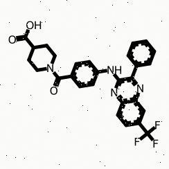 O=C(O)C1CCN(C(=O)c2ccc(Nc3nc4ccc(C(F)(F)F)cc4nc3-c3ccccc3)cc2)CC1